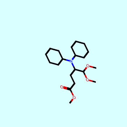 COC(=O)CCC(C(OC)OC)N(C1CCCCC1)C1CCCCC1